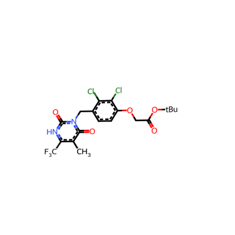 Cc1c(C(F)(F)F)[nH]c(=O)n(Cc2ccc(OCC(=O)OC(C)(C)C)c(Cl)c2Cl)c1=O